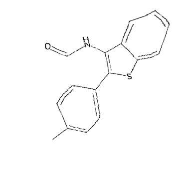 Cc1ccc(-c2sc3ccccc3c2NC=O)cc1